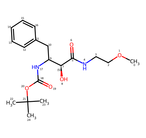 COCCNC(=O)[C@@H](O)C(Cc1ccccc1)NC(=O)OC(C)(C)C